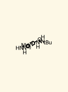 CC(C)(C)NCC(=O)NCC1CCN(c2ccc(NC(=N)N)cc2)CC1